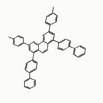 Cc1ccc(-c2cc(-c3ccc(-c4ccccc4)cc3)c3ccc4c(-c5ccc(-c6ccccc6)cc5)cc(-c5ccc(C)cc5)nc4c3n2)cc1